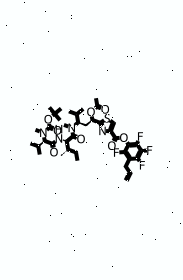 C=CCc1c(F)c(F)c(F)c(OC(=O)c2csc([C@@H](C[C@H](C(C)C)N(C)C(=O)[C@@H](NC(=O)[C@@H](C(C)C)N(C)C(=O)OC(C)(C)C)[C@@H](C)CC)OC(C)=O)n2)c1F